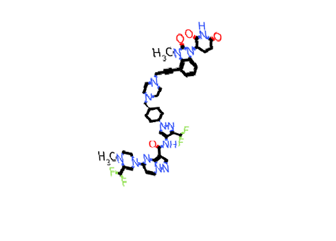 CN1CCN(c2ccn3ncc(C(=O)Nc4cn([C@H]5CC[C@H](CN6CCN(CC#Cc7cccc8c7n(C)c(=O)n8C7CCC(=O)NC7=O)CC6)CC5)nc4C(F)F)c3n2)CC1C(F)F